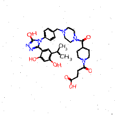 CC(C)c1cc(-c2nnc(O)n2-c2ccc(CN3CCN(C(=O)C4CCN(C(=O)CCC(=O)O)CC4)CC3)cc2)c(O)cc1O